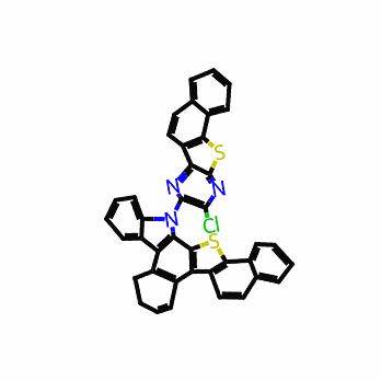 Clc1nc2sc3c4ccccc4ccc3c2nc1-n1c2ccccc2c2c3c(c4c5ccc6ccccc6c5sc4c21)C=CCC3